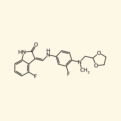 CN(CC1OCCO1)c1ccc(NC=C2C(=O)Nc3cccc(F)c32)cc1F